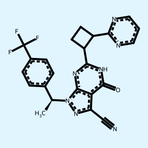 C[C@@H](c1ccc(C(F)(F)F)cc1)n1nc(C#N)c2c(=O)[nH]c(C3CCC3c3ncccn3)nc21